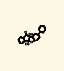 O=C1c2ccccc2C2(O)Oc3ccc(-c4ccccc4)cc3C12O